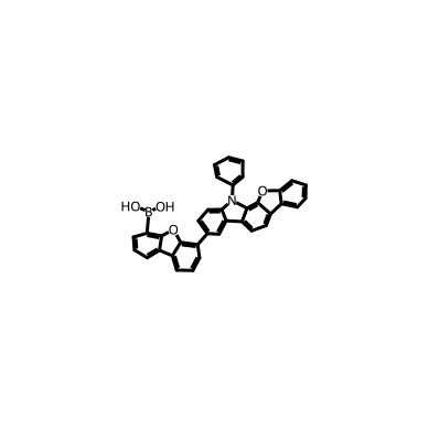 OB(O)c1cccc2c1oc1c(-c3ccc4c(c3)c3ccc5c6ccccc6oc5c3n4-c3ccccc3)cccc12